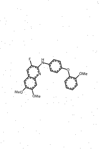 COc1cc2cc(F)c(Nc3ccc(Oc4ccccc4OC)cc3)nc2cc1OC